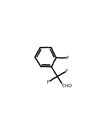 O=CC(F)(F)c1ccccc1F